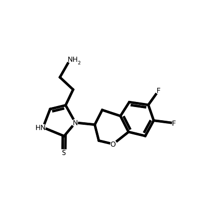 NCCc1c[nH]c(=S)n1C1COc2cc(F)c(F)cc2C1